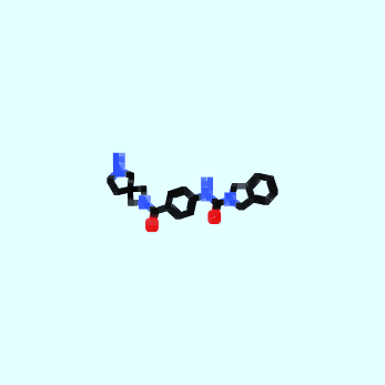 O=C(Nc1ccc(C(=O)N2CC3(CCNC3)C2)cc1)N1Cc2ccccc2C1